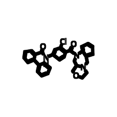 O=C(Nc1ccc(C(=O)N2CC3COCCN3Cc3ccccc32)c(Cl)c1)c1ccccc1-c1ccccc1